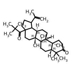 C=C(C)C1CCC2(C(=O)C(C)(C)C)CC[C@]3(C)[C@H](CC[C@@H]4[C@@]5(C)CCC(=O)C(C)(C)[C@@H]5CC[C@]43C)C12